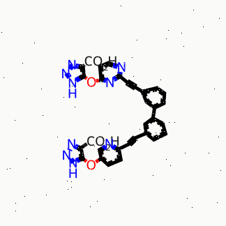 O=C(O)c1nn[nH]c1Oc1ccc(C#Cc2cccc(-c3cccc(C#Cc4nccc(Oc5[nH]nnc5C(=O)O)n4)c3)c2)nc1